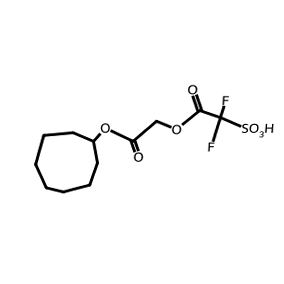 O=C(COC(=O)C(F)(F)S(=O)(=O)O)OC1CCCCCCC1